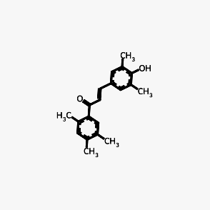 Cc1cc(C)c(C(=O)/C=C/c2cc(C)c(O)c(C)c2)cc1C